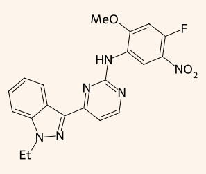 CCn1nc(-c2ccnc(Nc3cc([N+](=O)[O-])c(F)cc3OC)n2)c2ccccc21